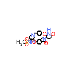 CS(=O)(=O)N[C@@H]1CCN(Cc2ccccc2)C[C@H]1Oc1ccc2c(c1)CN(C1CCC(=O)NC1=O)C2=O